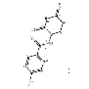 CC(C)c1ccc(C(=O)NC2CCC(=O)NC2=O)nc1